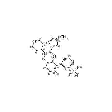 Cn1cnc(C(=O)N(Cc2ccc(F)c(-c3cc(C(F)(F)F)ncn3)c2)C2CCOCC2)c1